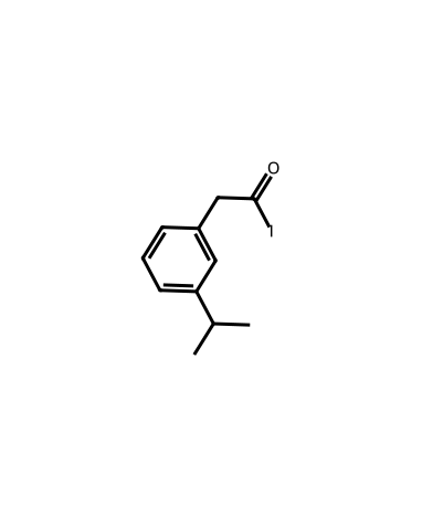 CC(C)c1cccc(CC(=O)I)c1